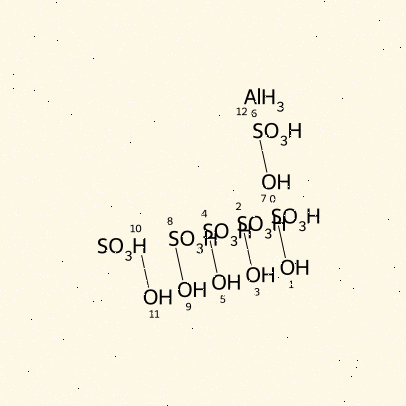 O=S(=O)(O)O.O=S(=O)(O)O.O=S(=O)(O)O.O=S(=O)(O)O.O=S(=O)(O)O.O=S(=O)(O)O.[AlH3]